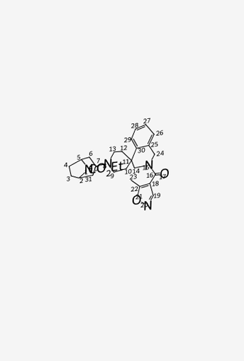 CCOC(=O)N1C2CCC1CC(N1CCC3(CC1)CN(C(=O)c1cnoc1C)Cc1ccccc13)C2